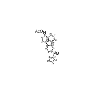 CC(=O)O/N=C1\CCn2c3ccc(C(=O)c4cccs4)cc3c3cccc1c32